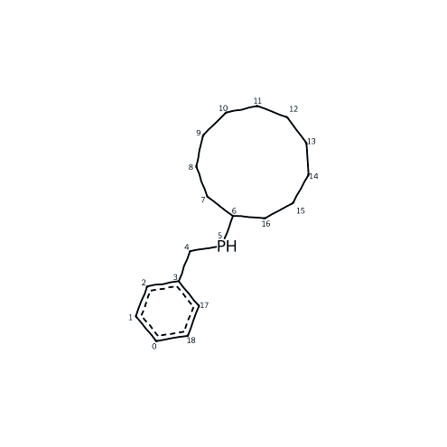 c1ccc(CPC2CCCCCCCCCC2)cc1